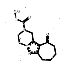 CC(C)(C)OC(=O)N1CCn2nc3c(c2C1)C(=O)CCCC3